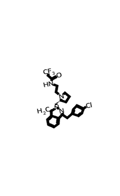 C=C1c2ccccc2C(Cc2ccc(Cl)cc2)=NN1C[C@H]1CCCN1CCNC(=O)CC(F)(F)F